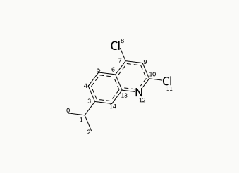 CC(C)c1ccc2c(Cl)cc(Cl)nc2c1